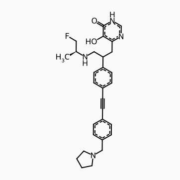 C[C@@H](CF)NCC(Cc1nc[nH]c(=O)c1O)c1ccc(C#Cc2ccc(CN3CCCC3)cc2)cc1